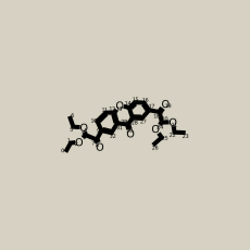 CCOC(OCC)C(=O)c1ccc2oc3ccc(C(=O)C(OCC)OCC)cc3c(=O)c2c1